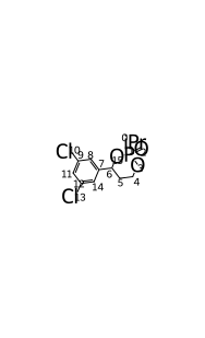 CC(C)P1(=O)OCCC(c2cc(Cl)cc(Cl)c2)O1